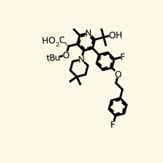 Cc1nc(C(C)(C)O)c(-c2ccc(OCCc3ccc(F)cc3)c(F)c2)c(N2CCC(C)(C)CC2)c1[C@H](OC(C)(C)C)C(=O)O